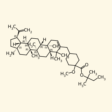 C=C(C)[C@@H]1CC[C@]2(N)CC[C@]3(C)[C@H](CC[C@@H]4[C@@]5(C)CC=C(CC6CCC(OC)(C(=O)OC(C)(C)CC)CC6)C(C)(C)[C@@H]5CC[C@]43C)[C@@H]12